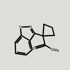 COC(=O)C1(c2noc3ccccc23)CCC1